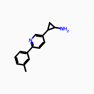 Cc1cccc(-c2ccc(C3CC3N)cn2)c1